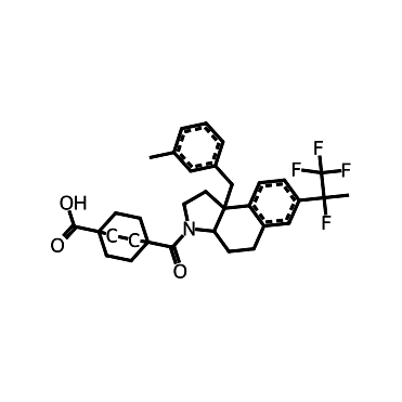 Cc1cccc(CC23CCN(C(=O)C45CCC(C(=O)O)(CC4)CC5)C2CCc2cc(C(C)(F)C(F)(F)F)ccc23)c1